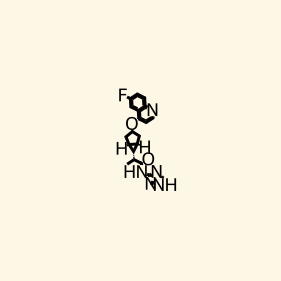 CC(C(=O)Nc1nc[nH]n1)[C@@H]1[C@@H]2C[C@@H](Oc3ccnc4ccc(F)cc34)C[C@@H]21